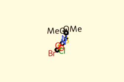 COc1ccc(-c2csc(N3CCC(S(=O)(=O)c4ccc(Br)cc4Cl)CC3)n2)cc1OC